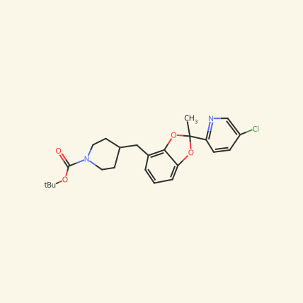 CC(C)(C)OC(=O)N1CCC(Cc2cccc3c2OC(C)(c2ccc(Cl)cn2)O3)CC1